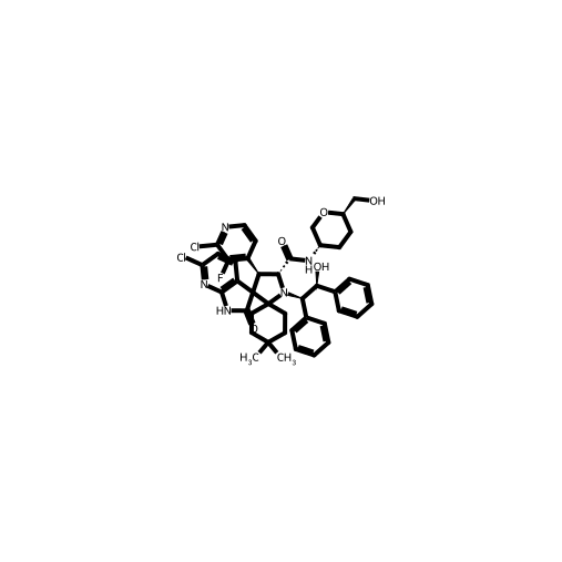 CC1(C)CCC2(CC1)N([C@H](c1ccccc1)[C@@H](O)c1ccccc1)[C@@H](C(=O)N[C@H]1CC[C@H](CO)OC1)[C@H](c1ccnc(Cl)c1F)C21C(=O)Nc2nc(Cl)ccc21